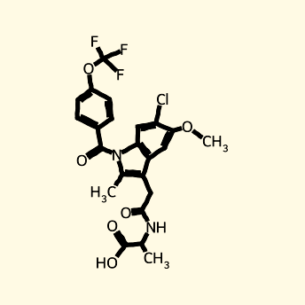 COc1cc2c(CC(=O)NC(C)C(=O)O)c(C)n(C(=O)c3ccc(OC(F)(F)F)cc3)c2cc1Cl